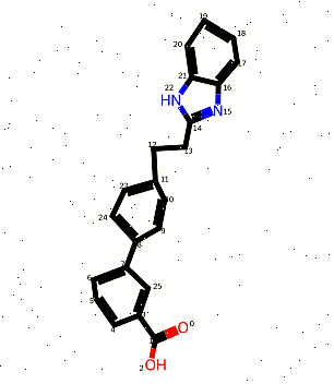 O=C(O)c1cccc(-c2ccc(CCc3nc4ccccc4[nH]3)cc2)c1